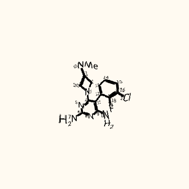 CNC1CN(c2nc(N)nc(N)c2-c2cccc(Cl)c2F)C1